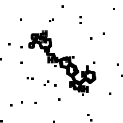 Cc1cccc(-c2[nH]cnc2-c2ccc3ncc(NCCN4CCNC(C(=O)O)C4)cc3c2)n1